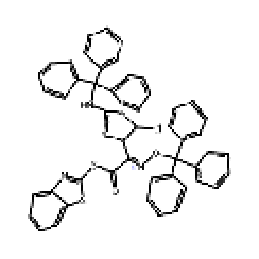 O=C(Sc1nc2ccccc2s1)/C(=N/OC(c1ccccc1)(c1ccccc1)c1ccccc1)C1N=C(NC(c2ccccc2)(c2ccccc2)c2ccccc2)SC1Cl